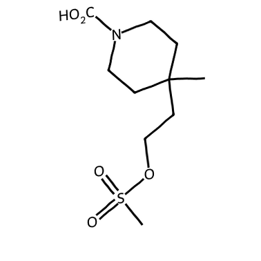 CC1(CCOS(C)(=O)=O)CCN(C(=O)O)CC1